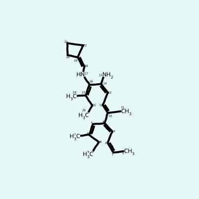 C\C=C/C=C(\C=C(\C)CC)C(/C)=C/C=C(N)\C(NC=C1CCC1)=C(\C)CC